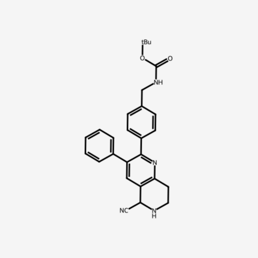 CC(C)(C)OC(=O)NCc1ccc(-c2nc3c(cc2-c2ccccc2)C(C#N)NCC3)cc1